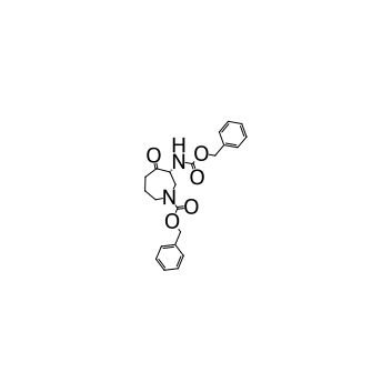 O=C(N[C@@H]1CN(C(=O)OCc2ccccc2)CCCC1=O)OCc1ccccc1